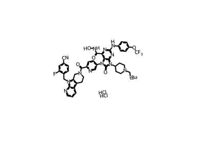 CC(C)(C)CN1CCC(n2c(=O)n(-c3ccc(C(=O)N4CCc5c(n(Cc6ccc(C#N)cc6F)c6ncccc56)C4)nc3)c3c(C(=O)NO)nc(Nc4ccc(OC(F)(F)F)cc4)nc32)CC1.Cl.Cl